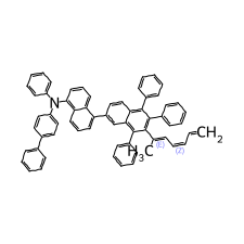 C=C/C=C\C=C(/C)c1c(-c2ccccc2)c(-c2ccccc2)c2ccc(-c3cccc4c(N(c5ccccc5)c5ccc(-c6ccccc6)cc5)cccc34)cc2c1-c1ccccc1